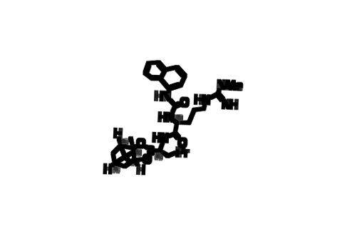 CNC(=N)NCCC[C@H](NC(=O)Nc1cccc2ccccc12)C(=O)N[C@@H](CC(C)C)B1O[C@@H]2C[C@@H]3C[C@@H](C3(C)C)[C@]2(C)O1